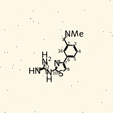 CNCc1cccc(-c2csc(NC(=N)N)n2)c1